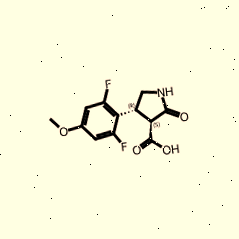 COc1cc(F)c([C@@H]2CNC(=O)[C@H]2C(=O)O)c(F)c1